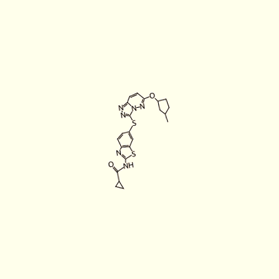 CC1CCC(Oc2ccc3nnc(Sc4ccc5nc(NC(=O)C6CC6)sc5c4)n3n2)C1